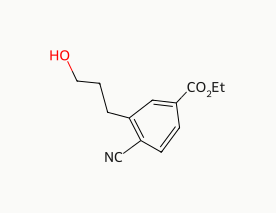 CCOC(=O)c1ccc(C#N)c(CCCO)c1